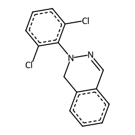 Clc1cccc(Cl)c1N1Cc2ccccc2C=N1